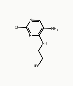 CC(C)CCNc1nc(Cl)ncc1N